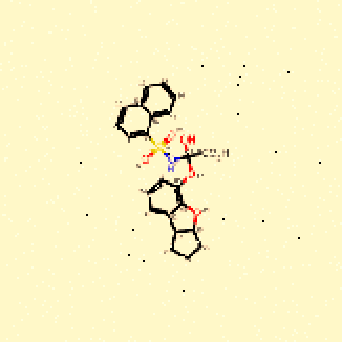 O=C(O)C(O)(NS(=O)(=O)c1cccc2ccccc12)Oc1cccc2c1OC1CCCC21